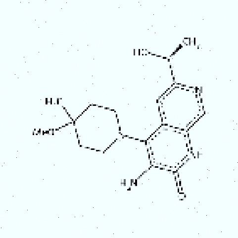 COC1(C)CCN(c2c(N)c(=O)[nH]c3cnc([C@H](C)O)cc23)CC1